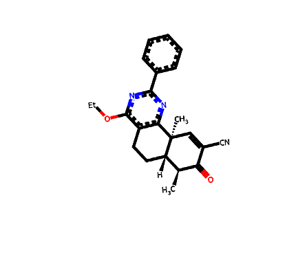 CCOc1nc(-c2ccccc2)nc2c1CC[C@H]1[C@H](C)C(=O)C(C#N)=C[C@]21C